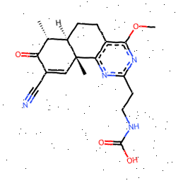 COc1nc(CCNC(=O)O)nc2c1CC[C@@H]1[C@@H](C)C(=O)C(C#N)=C[C@@]21C